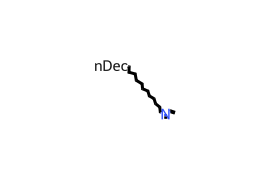 C=CN(C)CCCCCCCCCCCCCCCCCCCCCC